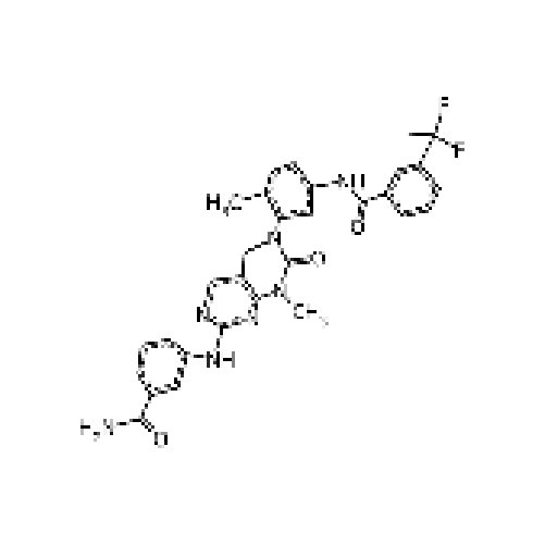 Cc1ccc(NC(=O)c2cccc(C(F)(F)F)c2)cc1N1Cc2cnc(Nc3cccc(C(N)=O)c3)nc2N(C)C1=O